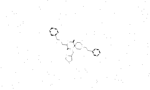 O=C1C(COCc2ccccc2)NC(=O)C2(CCN(CCc3ccccc3)CC2)N1CC1CCCO1